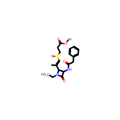 CC(=C[S+]([O-])CCC(=O)OC(C)C)C1C(NC(=O)Cc2ccccc2)C(=O)N1CC(=O)O